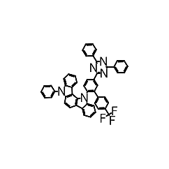 FC(F)(F)c1ccc(-c2cc(-c3nc(-c4ccccc4)nc(-c4ccccc4)n3)ccc2-n2c3ccccc3c3ccc4c(c5ccccc5n4-c4ccccc4)c32)cc1